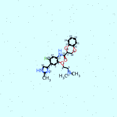 Cc1nc(-c2cc(OCCN(C)C)c(NC(=O)C3COc4ccccc4O3)cc2F)c[nH]1